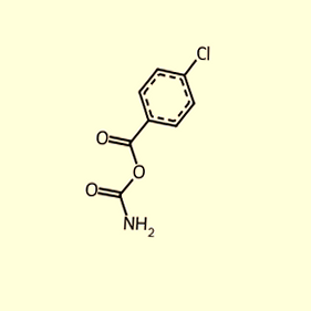 NC(=O)OC(=O)c1ccc(Cl)cc1